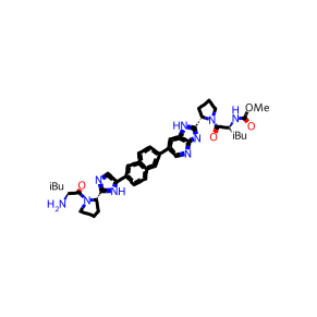 CC[C@H](C)[C@H](N)C(=O)N1CCC[C@H]1c1ncc(-c2ccc3cc(-c4cnc5nc([C@@H]6CCCN6C(=O)[C@@H](NC(=O)OC)[C@@H](C)CC)[nH]c5c4)ccc3c2)[nH]1